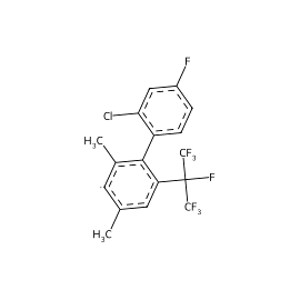 Cc1[c]c(C)c(-c2ccc(F)cc2Cl)c(C(F)(C(F)(F)F)C(F)(F)F)c1